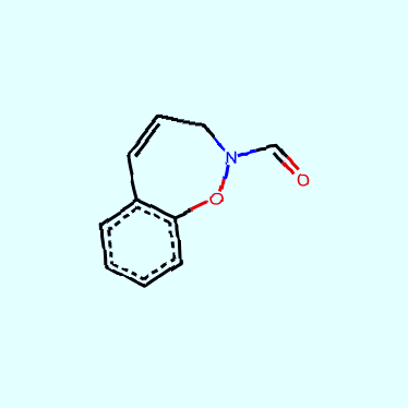 O=CN1CC=Cc2ccccc2O1